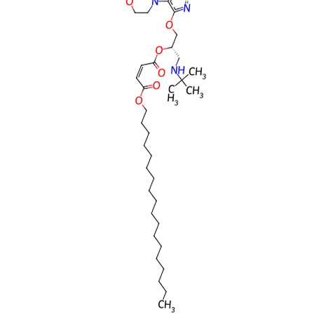 CCCCCCCCCCCCCCCCCCOC(=O)/C=C\C(=O)O[C@@H](CNC(C)(C)C)COc1nsnc1N1CCOCC1